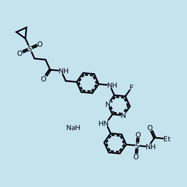 CCC(=O)NS(=O)(=O)c1cccc(Nc2ncc(F)c(Nc3ccc(CNC(=O)CCS(=O)(=O)C4CC4)cc3)n2)c1.[NaH]